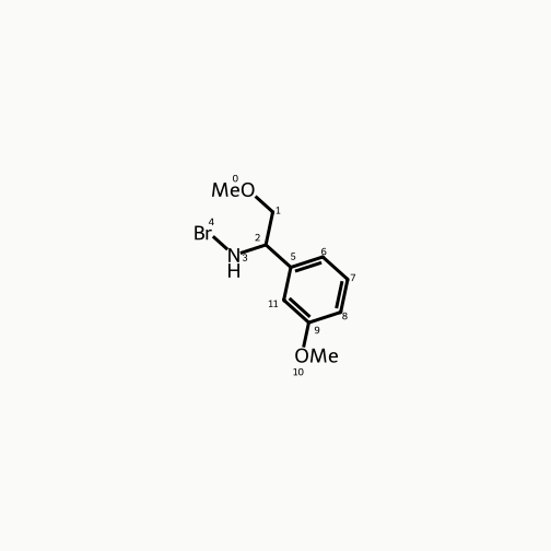 COCC(NBr)c1cccc(OC)c1